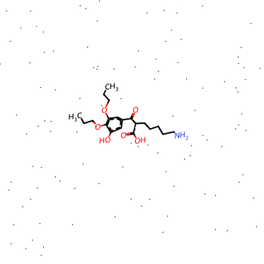 CCCOc1cc(C(=O)C(CCCCCN)C(=O)O)cc(O)c1OCCC